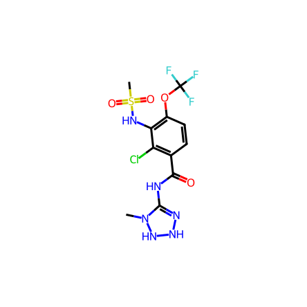 CN1NNN=C1NC(=O)c1ccc(OC(F)(F)F)c(NS(C)(=O)=O)c1Cl